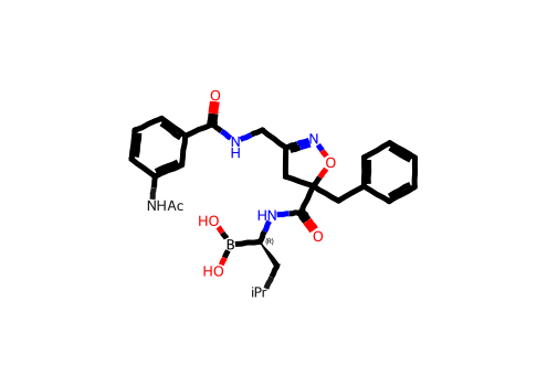 CC(=O)Nc1cccc(C(=O)NCC2=NOC(Cc3ccccc3)(C(=O)N[C@@H](CC(C)C)B(O)O)C2)c1